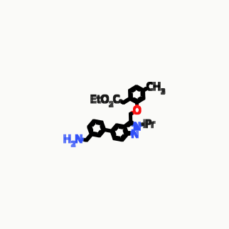 CCOC(=O)Cc1ccc(C)cc1OCc1c2cc(-c3cccc(CN)c3)ccc2nn1C(C)C